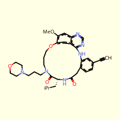 C#Cc1ccc2c(c1)Nc1ncnc3cc(OC)c(cc13)OCCCN(CCCN1CCOCC1)C(=O)[C@@H](CC(C)C)NC(=O)C2